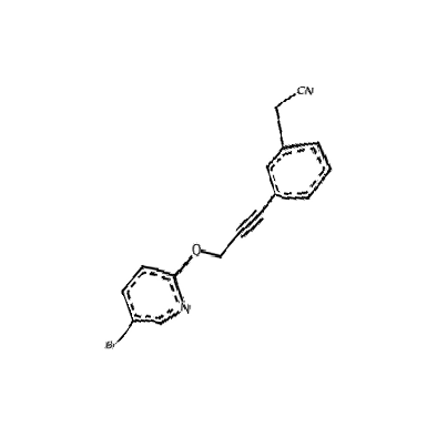 N#CCc1cccc(C#CCOc2ccc(Br)cn2)c1